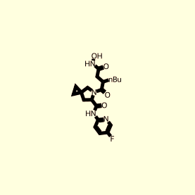 CCCCC(CC(=O)NO)C(=O)N1CC2(CC2)CC1C(=O)Nc1ccc(F)cn1